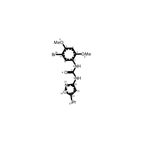 COc1cc(OC)c(NC(=O)Nc2cc(C(C)C)on2)cc1Br